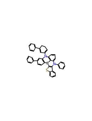 C1=C(c2ccccc2)CCC=C1N1c2cc(-c3ccccc3)ccc2B2c3sc4ccccc4c3N(c3ccccc3)c3cccc1c32